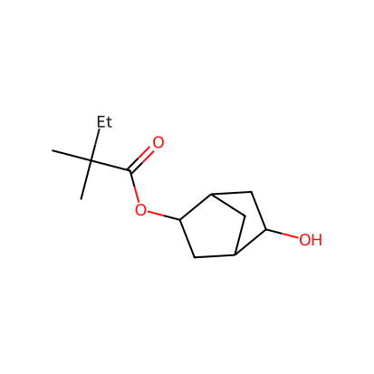 CCC(C)(C)C(=O)OC1CC2CC1CC2O